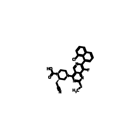 CSc1nc(N2CCN(C(=O)O)[C@@H](CC#N)C2)c2cnc(-c3cccc4cccc(Cl)c34)c(F)c2n1